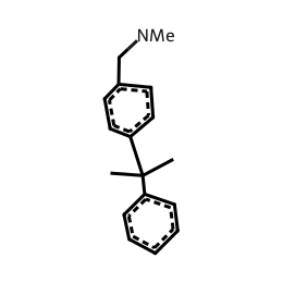 CNCc1ccc(C(C)(C)c2ccccc2)cc1